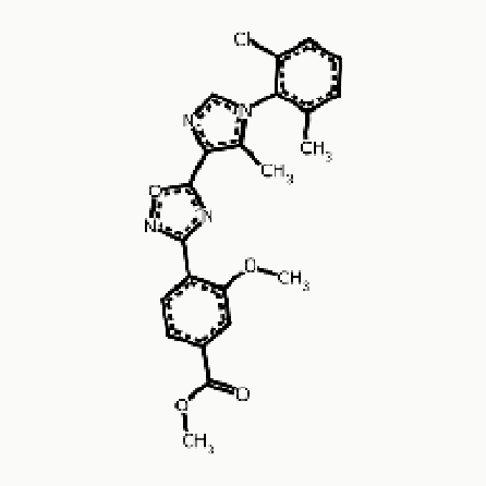 COC(=O)c1ccc(-c2noc(-c3ncn(-c4c(C)cccc4Cl)c3C)n2)c(OC)c1